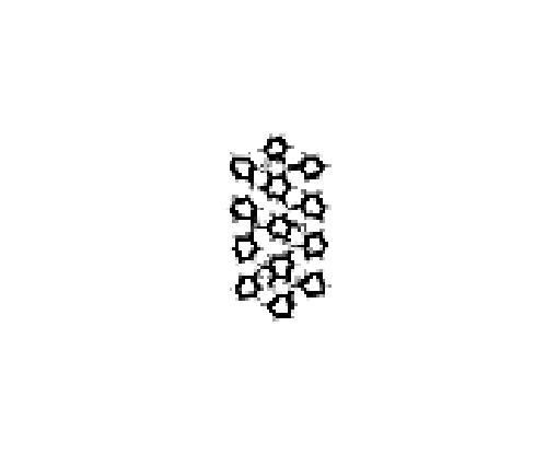 Clc1c(Oc2ccccc2)cc(N(c2ccccc2)c2cc(N(c3ccccc3)c3ccccc3)cc(N(c3ccccc3)c3cc(Oc4ccccc4)c(Cl)c(N(c4ccccc4)c4ccccc4)c3)c2Cl)cc1N(c1ccccc1)c1ccccc1